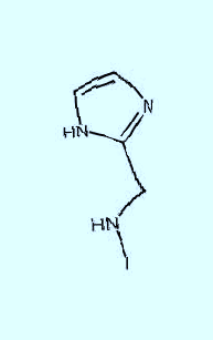 INCc1ncc[nH]1